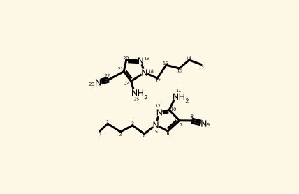 CCCCCn1cc(C#N)c(N)n1.CCCCCn1ncc(C#N)c1N